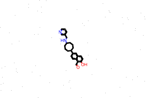 O=Cc1c(O)ccc2cc(C3CCCC(NCc4cccnc4)CCC3)ccc12